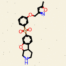 Cc1cc(COc2cccc(S(=O)(=O)c3ccc4c(c3)OC3CNCCC43)c2)no1